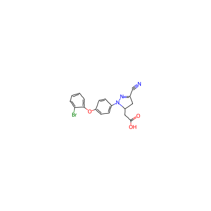 N#CC1=NN(c2ccc(Oc3ccccc3Br)cc2)C(CC(=O)O)C1